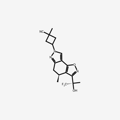 C[C@H]1Cc2nn(C3CC(C)(C#N)C3)cc2-c2onc([C@@](C)(O)C(F)(F)F)c21